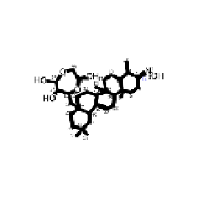 CC1/C(=N/O)CCC2(C)C1CCC1(C)C3CCC4(CC5OC(O)COC(O)C5O)CCC(C)(C)CC4C3=CCC12